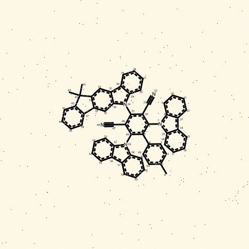 Cc1ccc(-c2c(-n3c4ccccc4c4ccccc43)c(C#N)c(-n3c4ccccc4c4cc5c(cc43)-c3ccccc3C5(C)C)c(C#N)c2-n2c3ccccc3c3ccccc32)cc1